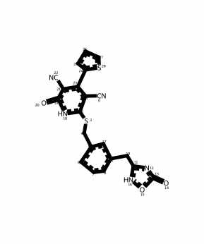 N#Cc1c(SCc2cccc(Cc3nc(=O)o[nH]3)c2)[nH]c(=O)c(C#N)c1-c1cccs1